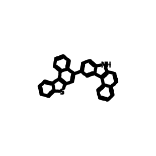 c1ccc2c(c1)ccc1[nH]c3ccc(-c4cc5sc6ccccc6c5c5ccccc45)cc3c12